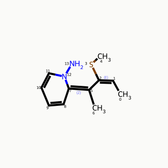 C/C=C(SC)\C(C)=C1\C=CC=CN1N